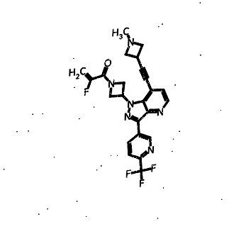 C=C(F)C(=O)N1CC(n2nc(-c3ccc(C(F)(F)F)nc3)c3nccc(C#CC4CN(C)C4)c32)C1